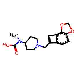 CN(C(=O)O)C1CCN(CC2=Cc3c2ccc2c3OCO2)CC1